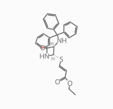 CCOC(=O)C=CS[C@@H]1NC(=O)[C@H]1NC(c1ccccc1)(c1ccccc1)c1ccccc1